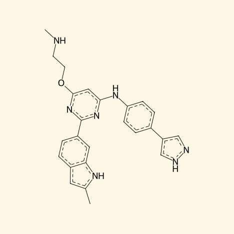 CNCCOc1cc(Nc2ccc(-c3cn[nH]c3)cc2)nc(-c2ccc3cc(C)[nH]c3c2)n1